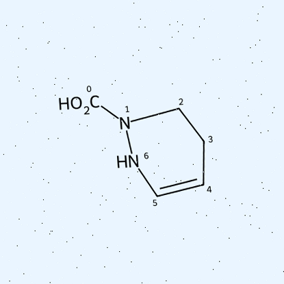 O=C(O)N1CCC=CN1